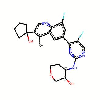 CC(C)c1c(C2(O)CCCC2)cnc2c(F)cc(-c3nc(N[C@@H]4CCOC[C@@H]4O)ncc3F)cc12